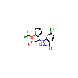 O=CCC(c1ccccc1OC(F)F)n1[nH]c(=O)c2ccc(Br)cc21